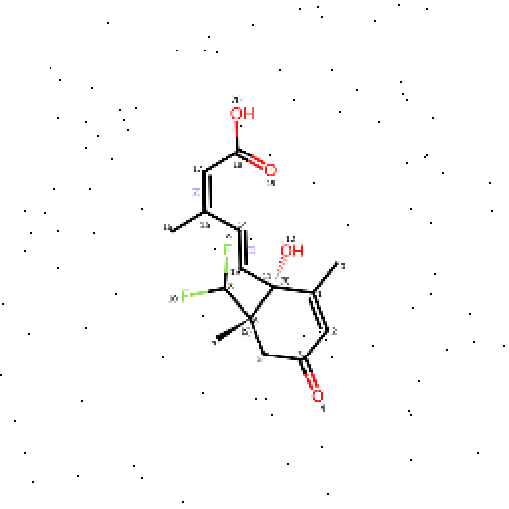 CC1=CC(=O)C[C@](C)(C(F)F)[C@@]1(O)/C=C/C(C)=C\C(=O)O